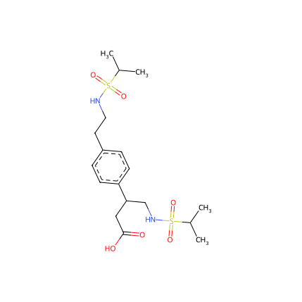 CC(C)S(=O)(=O)NCCc1ccc(C(CNS(=O)(=O)C(C)C)CC(=O)O)cc1